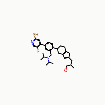 CC(C=O)CC1=CC2=C(CCC(c3ccc(-c4cc(S)ncc4F)cc3CN(C(C)C)C(C)C)C2)C1